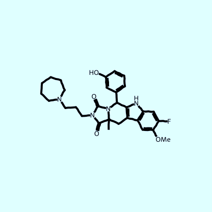 COc1cc2c3c([nH]c2cc1F)C(c1cccc(O)c1)N1C(=O)N(CCCN2CCCCCC2)C(=O)C1(C)C3